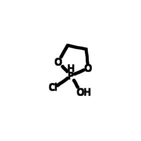 O[PH]1(Cl)OCCO1